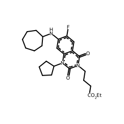 CCOC(=O)CCCn1c(=O)c2cc(F)c(NC3CCCCCC3)cc2n(C2CCCC2)c1=O